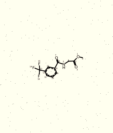 COC(=O)CNC(=O)c1cccc(C(F)(F)F)c1